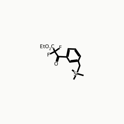 CCOC(=O)C(F)(F)C(=O)c1cccc(C[Si](C)(C)C)c1